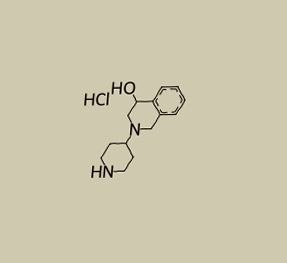 Cl.OC1CN(C2CCNCC2)Cc2ccccc21